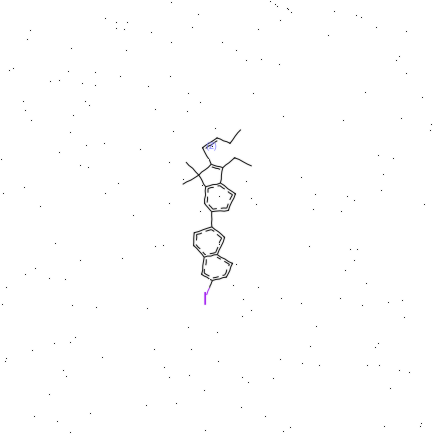 CC/C=C\C1=C(CC)c2ccc(-c3ccc4cc(I)ccc4c3)cc2C1(C)C